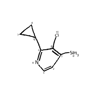 [SiH3]c1ccnc(C2CC2)c1Cl